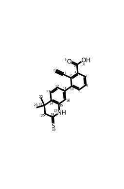 C#Cc1c(C(=O)O)cccc1-c1ccc2c(c1)NC(=S)CC2(C)C